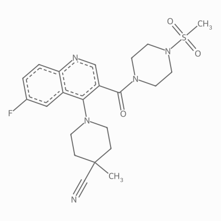 CC1(C#N)CCN(c2c(C(=O)N3CCN(S(C)(=O)=O)CC3)cnc3ccc(F)cc23)CC1